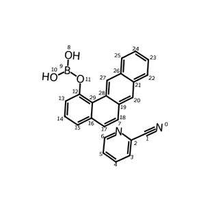 N#Cc1ccccn1.OB(O)Oc1cccc2ccc3cc4ccccc4cc3c12